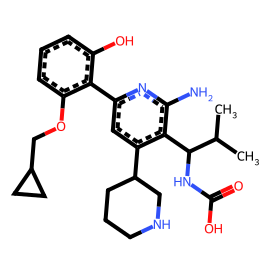 CC(C)C(NC(=O)O)c1c(C2CCCNC2)cc(-c2c(O)cccc2OCC2CC2)nc1N